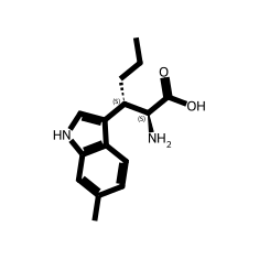 CCC[C@@H](c1c[nH]c2cc(C)ccc12)[C@H](N)C(=O)O